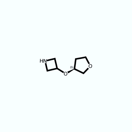 C1C[C@H](OC2CNC2)CO1